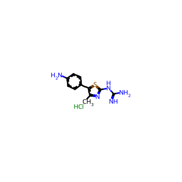 Cc1nc(NC(=N)N)sc1-c1ccc(N)cc1.Cl